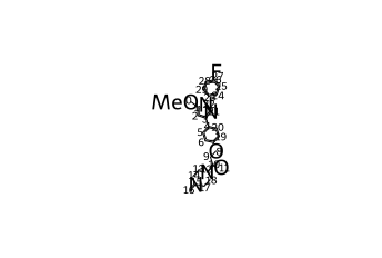 COc1cc(-c2ccc(OCC(=O)N3CCN(C)CC3)cc2)nn1-c1ccc(F)cc1